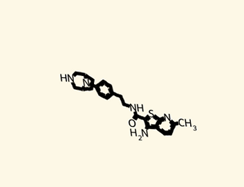 Cc1ccc2c(N)c(C(=O)NCCc3ccc(N4C5CCC4CNC5)cc3)sc2n1